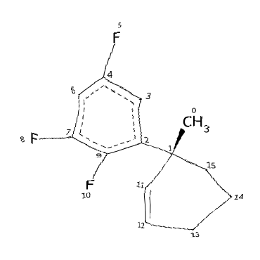 C[C@]1(c2cc(F)cc(F)c2F)C=CCCC1